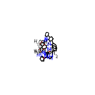 C=C1NCCNC(=C)N1c1c(-n2c3ccccc3c3ccc4c5ccccc5n(-c5ccccc5)c4c32)c(-n2c3ccccc3c3ccc4c5ccccc5n(-c5ccccc5)c4c32)c(C#N)c2c1C(C)(C)CCC2(C)C